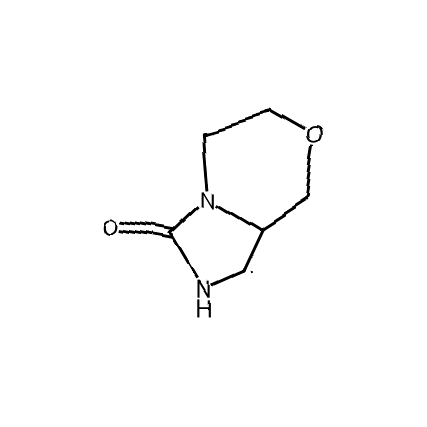 O=C1N[CH]C2COCCN12